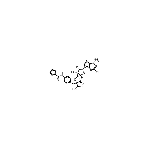 Nc1nc(Cl)nc2c1ncn2[C@@H]1O[C@@H]2C(OC(Cc3ccc(NC(=O)c4cccs4)cc3)(C(=O)O)C(=O)O)[C@]2(O)[C@@H]1F